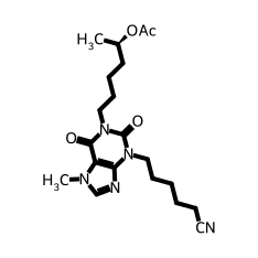 CC(=O)O[C@H](C)CCCCn1c(=O)c2c(ncn2C)n(CCCCCC#N)c1=O